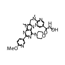 COc1ccc(-c2nc(N3CCOCC3)c3nc(CN(C)c4ncc(C(=O)NO)cn4)n(C)c3n2)cn1